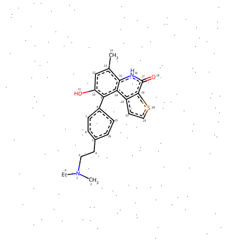 CCN(C)CCc1ccc(-c2c(O)cc(C)c3[nH]c(=O)c4sccc4c23)cc1